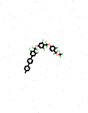 Cc1ccc(-c2ccc(-c3cc(F)c(C(F)(F)Oc4cc(F)c(C(F)(F)Oc5ccc(C(F)(F)OC(F)(F)F)c(F)c5)c(F)c4)c(F)c3)cc2)cc1